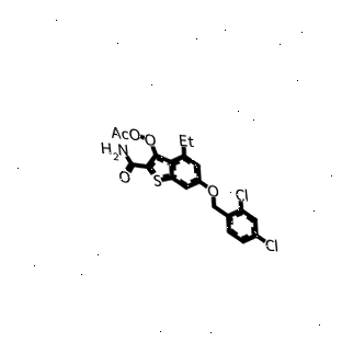 CCc1cc(OCc2ccc(Cl)cc2Cl)cc2sc(C(N)=O)c(OOC(C)=O)c12